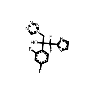 OC(Cn1cnnn1)(c1ccc(F)cc1F)C(F)(F)c1nccs1